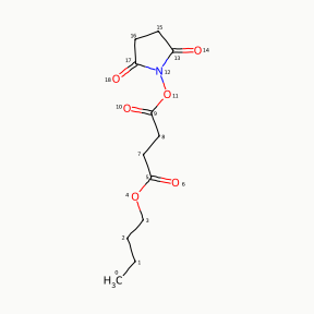 CCCCOC(=O)CCC(=O)ON1C(=O)CCC1=O